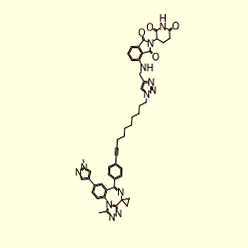 Cc1nnc2n1-c1ccc(-c3cnn(C)c3)cc1C(c1ccc(C#CCCCCCCCCn3cc(CNc4cccc5c4C(=O)N(C4CCC(=O)NC4=O)C5=O)nn3)cc1)=NC21CC1